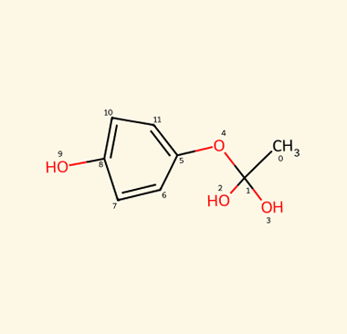 CC(O)(O)Oc1ccc(O)cc1